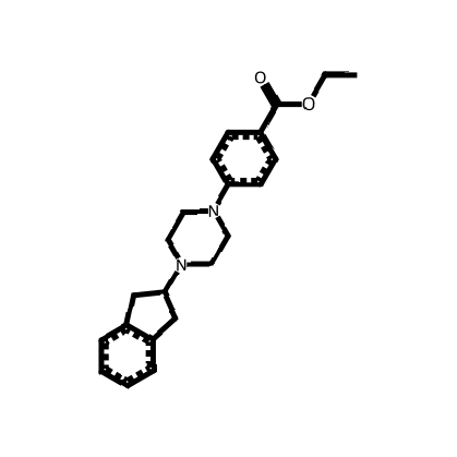 CCOC(=O)c1ccc(N2CCN(C3Cc4ccccc4C3)CC2)cc1